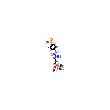 CCO[Si](CCCNC(=O)Nc1ccc([SH](=O)=O)cc1)(OCC)OCC